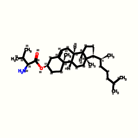 CC(C)CCC[C@@H](C)[C@H]1CC[C@H]2[C@@H]3CC=C4C[C@@H](OC(=O)[C@@H](N)C(C)C)CC[C@]4(C)[C@H]3CC[C@]12C